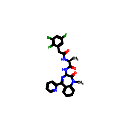 C[C@H](NC(=O)Cc1cc(F)cc(F)c1F)C(=O)NC1N=C(c2ccccn2)c2ccccc2N(C)C1=O